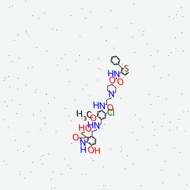 COc1cc(NC(=O)CCN2CCC(OC(=O)Nc3ccsc3-c3ccccc3)CC2)c(Cl)cc1CNCC(O)c1ccc(O)c2[nH]c(=O)sc12